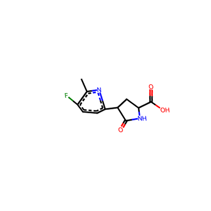 Cc1nc(C2CC(C(=O)O)NC2=O)ccc1F